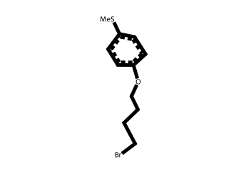 CSc1ccc(OCCCCBr)cc1